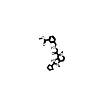 COC(=O)c1cccc(CNCC(=O)C2C3=C(C=CN2C)N(C)C(C2CCCC2)N3)c1